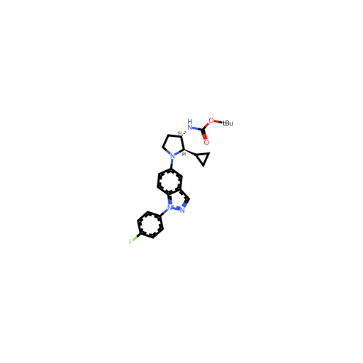 CC(C)(C)OC(=O)N[C@H]1CCN(c2ccc3c(cnn3-c3ccc(F)cc3)c2)[C@@H]1C1CC1